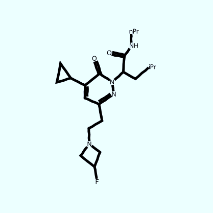 CCCNC(=O)C(CC(C)C)n1nc(CCN2CC(F)C2)cc(C2CC2)c1=O